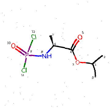 CC(C)OC(=O)[C@H](C)NP(=O)(Cl)Cl